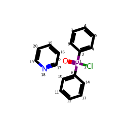 O=P(Cl)(c1ccccc1)c1ccccc1.c1ccncc1